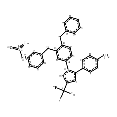 Cc1ccc(-c2cc(C(F)(F)F)nn2-c2ccc(Cc3ccccc3)c(Cc3ccccc3)c2)cc1.N[SH](=O)=O